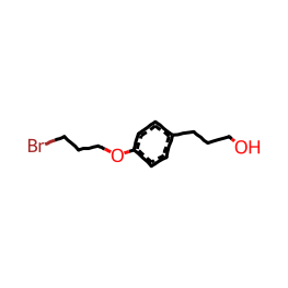 OCCCc1ccc(OCCCBr)cc1